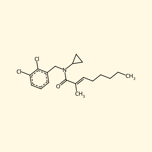 CCCCCC=C(C)C(=O)N(Cc1cccc(Cl)c1Cl)C1CC1